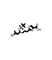 C/C(Br)=C\[C@H](CCCc1nc(C(=O)O)co1)O[Si](C)(C)C(C)(C)C